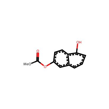 COC(=O)Oc1ccc2c(O)cccc2c1